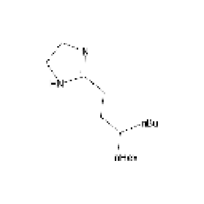 CCCCCCC(CCCC)CCC1=NCCN1